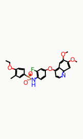 CCOc1ccc(S(=O)(=O)Nc2ccc(Oc3ccnc4cc(OC)c(OC)cc34)cc2F)cc1C